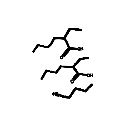 CCCCC(CC)C(=O)O.CCCCC(CC)C(=O)O.CCC[CH2][SnH]